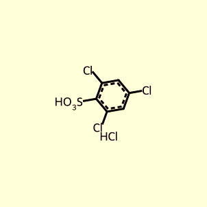 Cl.O=S(=O)(O)c1c(Cl)cc(Cl)cc1Cl